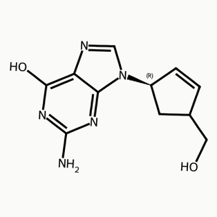 Nc1nc(O)c2ncn([C@H]3C=CC(CO)C3)c2n1